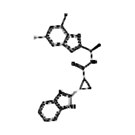 C[C@@H](NC(=O)C1C[C@@H]1c1nc2ccccc2[nH]1)c1cc2cc(F)cc(F)c2o1